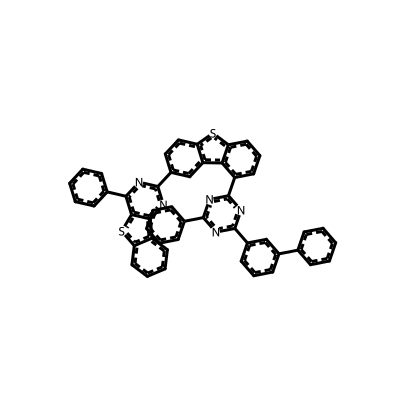 c1ccc(-c2cccc(-c3nc(-c4ccccc4)nc(-c4cccc5sc6ccc(-c7nc(-c8ccccc8)c8sc9ccccc9c8n7)cc6c45)n3)c2)cc1